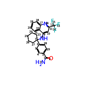 NC(=O)c1ccc(C2(Nc3cc(C(F)(F)F)nc4ccccc34)CCCCC2)cc1